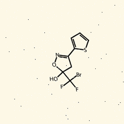 OC1(C(F)(F)Br)CC(c2cccs2)=NO1